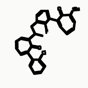 CC(Cc1cccc(-c2ccccc(C(C)(C)C)c2=O)c1F)c1ccccc(-c2ccccc2Cl)c1=O